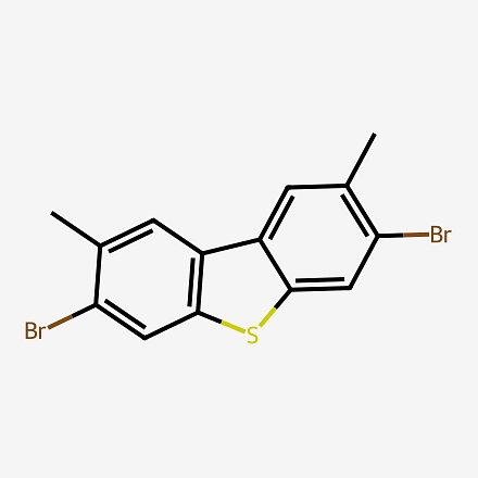 Cc1cc2c(cc1Br)sc1cc(Br)c(C)cc12